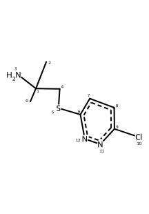 CC(C)(N)CSc1ccc(Cl)nn1